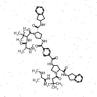 CN[C@@H](C)C(=O)N[C@H](C(=O)N1C[C@@H](NC(=O)c2ccc(C(=O)N[C@H]3C[C@@H](C(=O)NC4Cc5ccccc5C4)N(C(=O)[C@@H](NC(=O)[C@H](C)NC)C(C)(C)C)C3)cc2)C[C@H]1C(=O)NC1Cc2ccccc2C1)C(C)(C)C